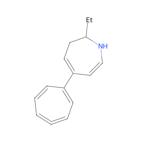 CCC1CC=C(C2=CC=C=CC=C2)C=CN1